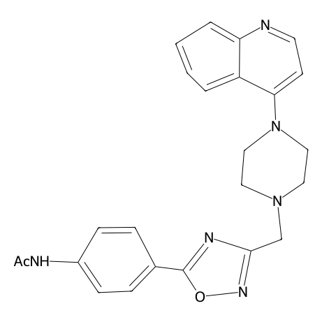 CC(=O)Nc1ccc(-c2nc(CN3CCN(c4ccnc5ccccc45)CC3)no2)cc1